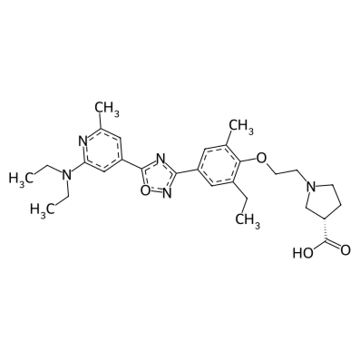 CCc1cc(-c2noc(-c3cc(C)nc(N(CC)CC)c3)n2)cc(C)c1OCCN1CC[C@H](C(=O)O)C1